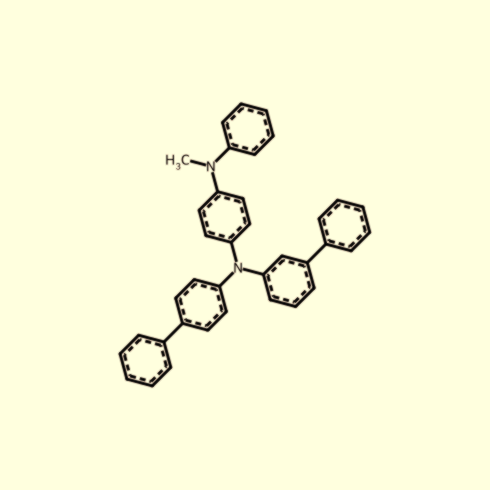 CN(c1ccccc1)c1ccc(N(c2ccc(-c3ccccc3)cc2)c2cccc(-c3ccccc3)c2)cc1